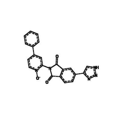 O=C1c2ccc(-c3c[nH]nn3)cc2C(=O)N1c1cc(-c2ccccc2)cc[n+]1[O-]